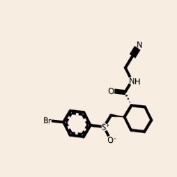 N#CCNC(=O)[C@@H]1CCCC[C@H]1C[S+]([O-])c1ccc(Br)cc1